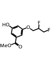 COC(=O)c1cc(O)cc(OCC(F)CF)c1